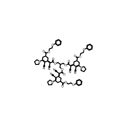 N#CC1=C(N2CCCC2)CC(C(=O)OCCOc2ccccc2)C/C1=C(/C#N)C(=O)OCC(COC(=O)/C(C#N)=C1\CC(C(=O)OCCOc2ccccc2)CC(N2CCCC2)=C1C#N)COC(=O)/C(C#N)=C1\CC(C(=O)OCCOc2ccccc2)CC(N2CCCC2)=C1C#N